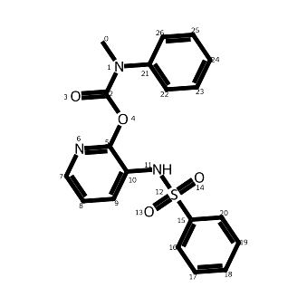 CN(C(=O)Oc1ncccc1NS(=O)(=O)c1ccccc1)c1ccccc1